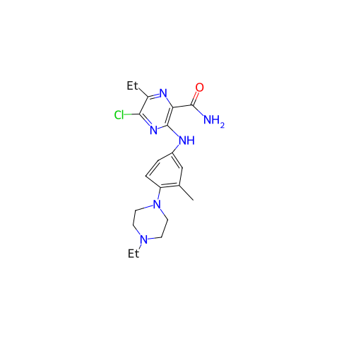 CCc1nc(C(N)=O)c(Nc2ccc(N3CCN(CC)CC3)c(C)c2)nc1Cl